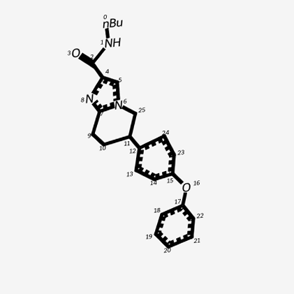 CCCCNC(=O)c1cn2c(n1)CCC(c1ccc(Oc3ccccc3)cc1)C2